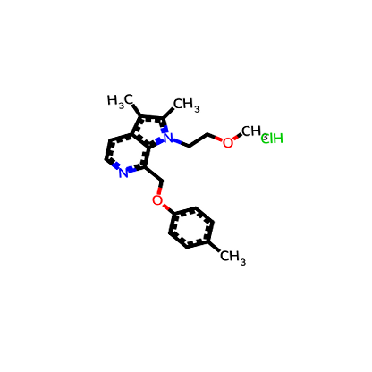 COCCn1c(C)c(C)c2ccnc(COc3ccc(C)cc3)c21.Cl